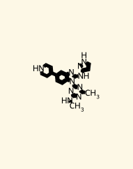 CNc1nc(C)nc(-n2c(Nc3cc[nH]n3)nc3cc(C4=CCNCC4)ccc32)n1